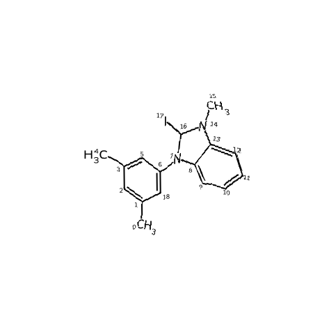 Cc1cc(C)cc(N2c3ccccc3N(C)C2I)c1